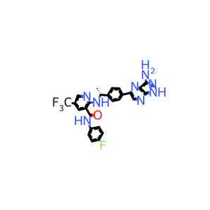 C[C@@H](Nc1ncc(C(F)(F)F)cc1C(=O)Nc1ccc(F)cc1)c1ccc(-c2cnc3[nH]nc(N)c3n2)cc1